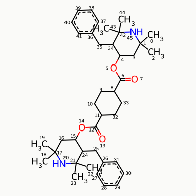 CC1(C)CC(OC(=O)C2CCC(C(=O)OC3CC(C)(C)NC(C)(C)C3Cc3ccccc3)CC2)C(Cc2ccccc2)C(C)(C)N1